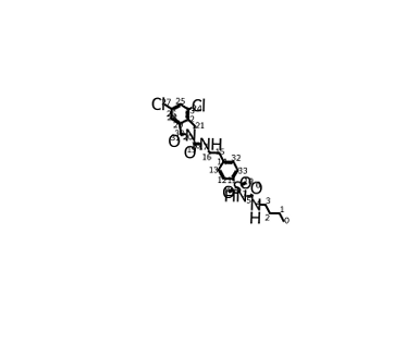 CCCCNC(=O)NS(=O)(=O)c1ccc(CCNC(=O)N2Cc3c(Cl)cc(Cl)cc3C2=O)cc1